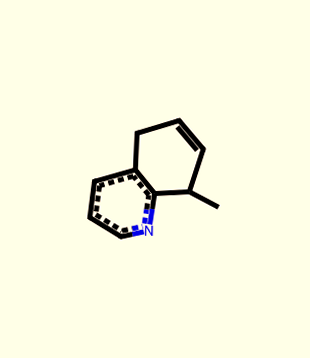 CC1C=CCc2cccnc21